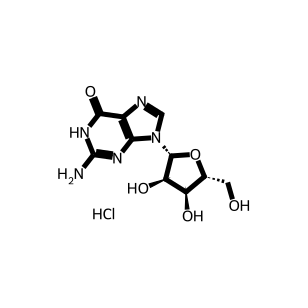 Cl.Nc1nc2c(ncn2[C@@H]2O[C@H](CO)[C@@H](O)[C@H]2O)c(=O)[nH]1